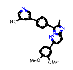 COc1ccc(-c2ccc3nc(C)c(-c4ccc(-c5cncc(C#N)c5)cc4)n3n2)cc1OC